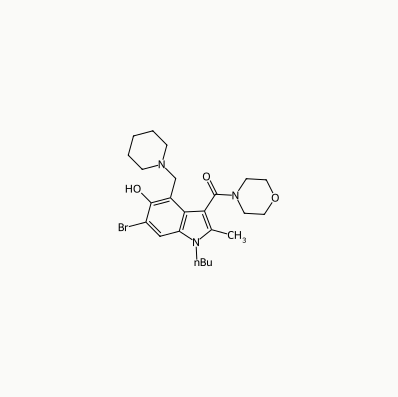 CCCCn1c(C)c(C(=O)N2CCOCC2)c2c(CN3CCCCC3)c(O)c(Br)cc21